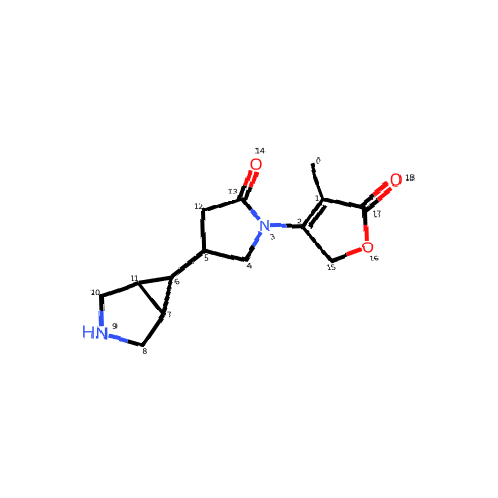 CC1=C(N2CC(C3C4CNCC43)CC2=O)COC1=O